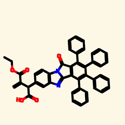 C=C(C(=O)OCC)C(C(=O)O)c1ccc2c(c1)nc1n2C(=O)c2c(-c3ccccc3)c(-c3ccccc3)c(-c3ccccc3)c(-c3ccccc3)c2-1